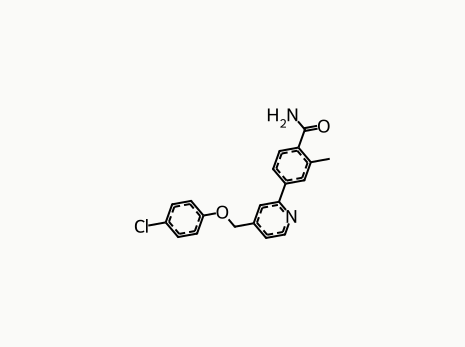 Cc1cc(-c2cc(COc3ccc(Cl)cc3)ccn2)ccc1C(N)=O